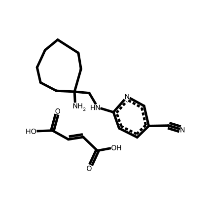 N#Cc1ccc(NCC2(N)CCCCCCC2)nc1.O=C(O)C=CC(=O)O